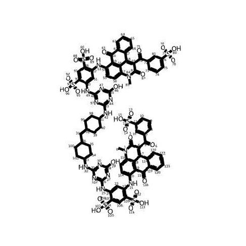 Cn1c(=O)c(C(=O)c2cccc(S(=O)(=O)O)c2)c2c3c(c(Nc4cc(Nc5nc(O)nc(NC6CCC(CC7CCC(Nc8nc(O)nc(Nc9cc(Nc%10ccc%11c%12c%10C(=O)c%10ccccc%10-c%12c(C(=O)c%10cccc(S(=O)(=O)O)c%10)c(=O)n%11C)c(S(=O)(=O)O)cc9S(=O)(=O)O)n8)CC7)CC6)n5)c(S(=O)(=O)O)cc4S(=O)(=O)O)ccc31)C(=O)c1ccccc1-2